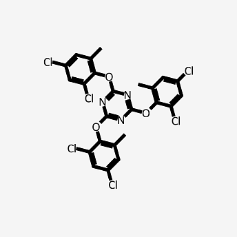 Cc1cc(Cl)cc(Cl)c1Oc1nc(Oc2c(C)cc(Cl)cc2Cl)nc(Oc2c(C)cc(Cl)cc2Cl)n1